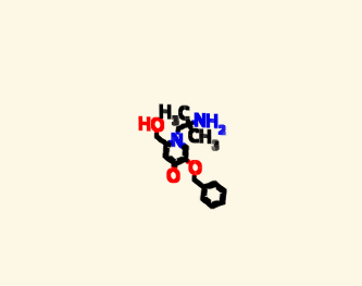 CC(C)(N)Cn1cc(OCc2ccccc2)c(=O)cc1CO